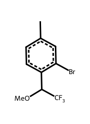 COC(c1ccc(C)cc1Br)C(F)(F)F